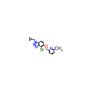 Cc1cccc(COc2ccc3c(nnn3CC3CC3)c2Br)n1